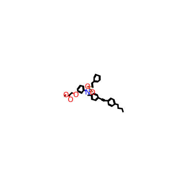 CCCCc1ccc(C#Cc2ccc(CN(c3cccc(OCC(=O)OC)c3)S(=O)(=O)/C=C/c3ccccc3)cc2)cc1